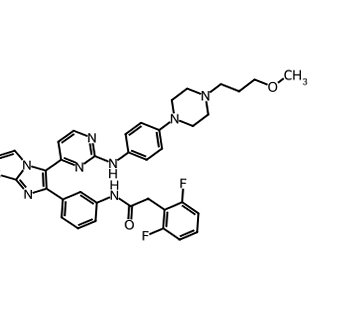 COCCCN1CCN(c2ccc(Nc3nccc(-c4c(-c5cccc(NC(=O)Cc6c(F)cccc6F)c5)nc5sccn45)n3)cc2)CC1